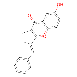 O=c1c2c(oc3ccc(O)cc13)C(=Cc1ccccc1)CC2